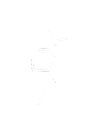 O=C=Nc1cccc([SH](=O)=O)c1